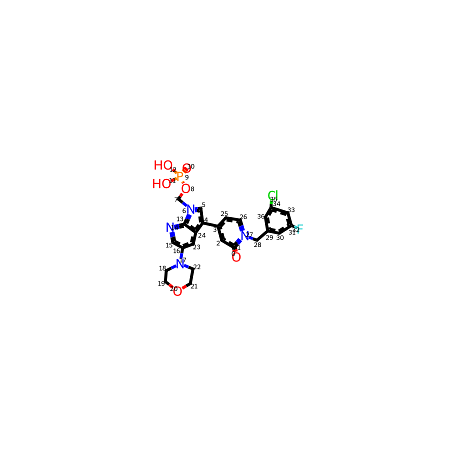 O=c1cc(-c2cn(COP(=O)(O)O)c3ncc(N4CCOCC4)cc23)ccn1Cc1cc(F)cc(Cl)c1